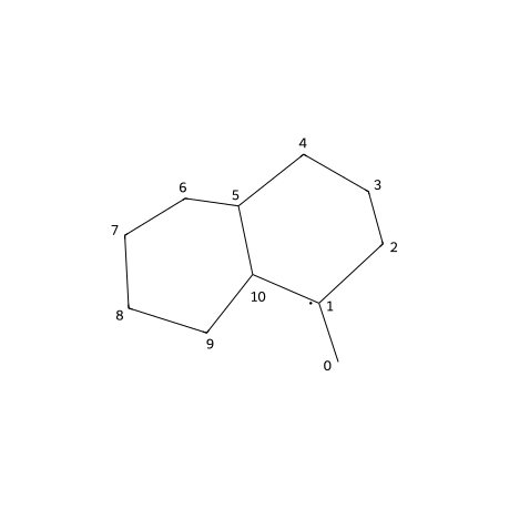 C[C]1CCCC2CCCCC12